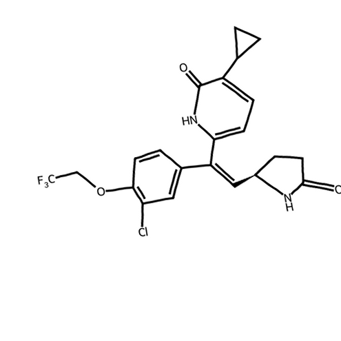 O=C1CC[C@H](C=C(c2ccc(OCC(F)(F)F)c(Cl)c2)c2ccc(C3CC3)c(=O)[nH]2)N1